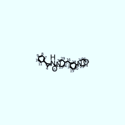 O=C(NC1CC1c1ccccc1)N1CCC(Cc2cccc(N3CCOCC3)c2)CC1